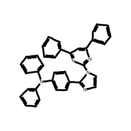 c1ccc(-c2cc(-c3ccccc3)nc(-n3ccnc3-c3ccc(N(c4ccccc4)c4ccccc4)cc3)n2)cc1